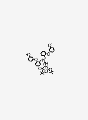 COc1cccc(Oc2ccccc2CN(CC[C@H](NC(=O)OC(C)(C)C)C(=O)OC(C)(C)C)Cc2ccccc2Oc2cccc(OC)c2)c1